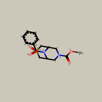 CC(C)(C)OC(=O)N1CC2CS(=O)(=O)CC(C1)N2Cc1ccccc1